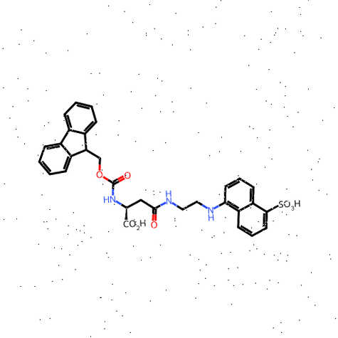 O=C(C[C@H](NC(=O)OCC1c2ccccc2-c2ccccc21)C(=O)O)NCCNc1cccc2c(S(=O)(=O)O)cccc12